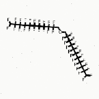 FC(F)C(F)(F)C(F)(F)C(F)(F)C(F)(F)C(F)(F)C(F)(F)C(F)(F)C(F)(F)C(F)(F)COCC(F)(F)C(F)(F)C(F)(F)C(F)(F)C(F)(F)C(F)(F)C(F)(F)C(F)(F)C(F)(F)C(F)F